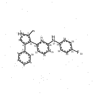 Cc1[nH]cc(-c2ccccc2)c1-c1ccnc(Nc2ccc(F)cc2)n1